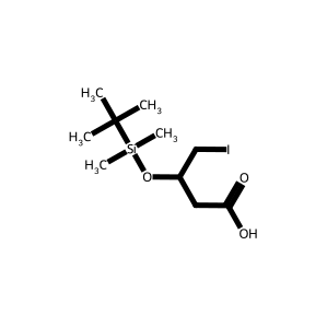 CC(C)(C)[Si](C)(C)OC(CI)CC(=O)O